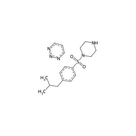 CC(C)Cc1ccc(S(=O)(=O)N2CCNCC2)cc1.c1cnnnc1